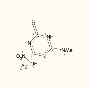 CNc1ccnc(=O)[nH]1.O=[N+]([O-])O.[Ag]